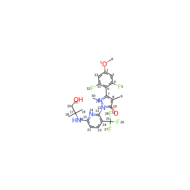 COc1cc(F)c(-c2c(C)c(=O)n(-c3nc(NC(C)(C)CO)ccc3C(F)(F)F)n2C)c(F)c1